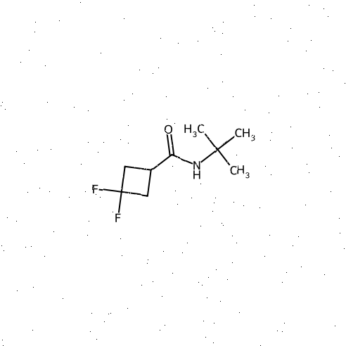 CC(C)(C)NC(=O)C1CC(F)(F)C1